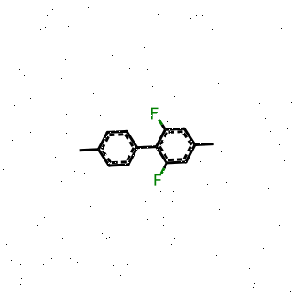 Cc1ccc(-c2c(F)cc(C)cc2F)cc1